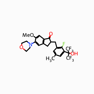 COc1cc2c(cc1N1CCOCC1)CC(Cc1cc(C)cc(C(O)(C(F)(F)F)C(F)(F)F)c1F)C2=O